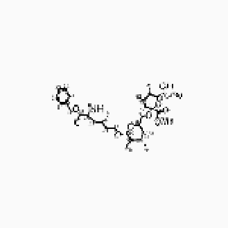 CC[C@@H](C)[C@@H](O)C1O[C@@](OCC2O[C@H](OCCCC[C@H](N)C(=O)OCc3ccccc3)C(C)[C@@H](C)[C@H]2C)(C(=O)OC)CC(C)[C@H]1C